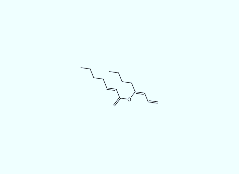 C=CC=C(CCCC)OC(=C)C=CCCCC